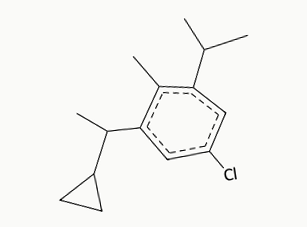 Cc1c(C(C)C)cc(Cl)cc1C(C)C1CC1